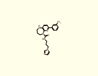 O=C(NCCCn1ccnc1)N1CCCNc2ccc(-c3cccc(C(F)(F)F)c3)nc21